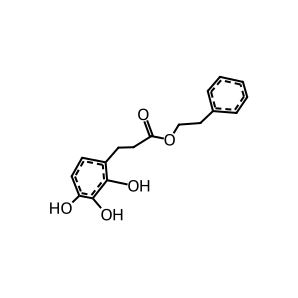 O=C(CCc1ccc(O)c(O)c1O)OCCc1ccccc1